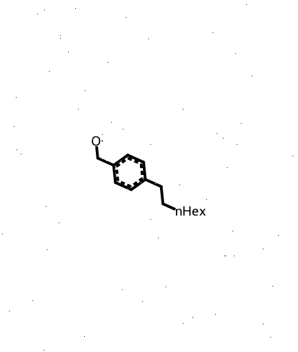 CCCCCCCCc1ccc(C[O])cc1